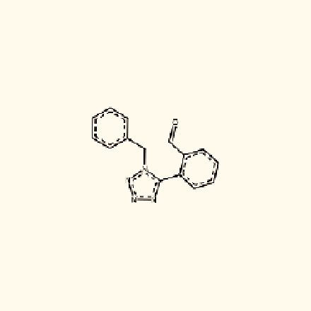 O=Cc1ccccc1-c1nnnn1Cc1ccccc1